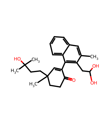 Cc1cc2ccccc2c(C2=CC(C)(CCC(C)(C)O)CCC2=O)c1CC(O)O